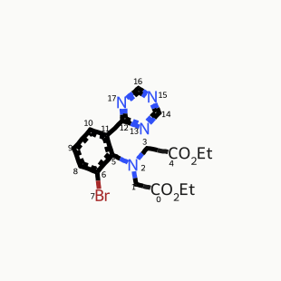 CCOC(=O)CN(CC(=O)OCC)c1c(Br)cccc1-c1ncncn1